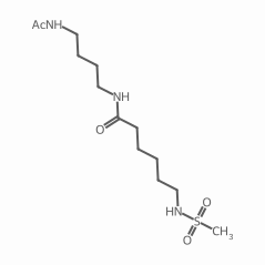 CC(=O)NCCCCNC(=O)CCCCCNS(C)(=O)=O